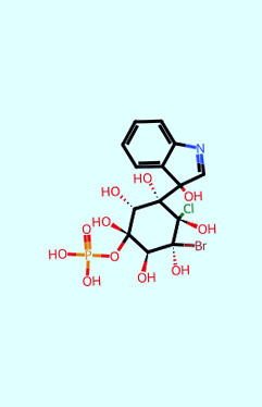 O=P(O)(O)O[C@@]1(O)[C@H](O)[C@](O)(Br)[C@@](O)(Cl)[C@](O)(C2(O)C=Nc3ccccc32)[C@H]1O